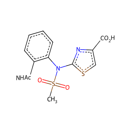 CC(=O)Nc1ccccc1N(c1nc(C(=O)O)cs1)S(C)(=O)=O